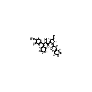 CC(C)c1ccc(C(NC(=O)C2CC(F)CN2C(=O)Cc2cccnc2)c2ccccc2)cc1F